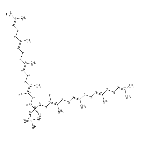 CC(C)=CCC/C(C)=C/CC/C(C)=C/CC/C(C)=C(\F)COP(=O)(OC/C(F)=C(\C)CC/C=C(\C)CC/C=C(\C)CCC=C(C)C)OP(=O)(O)O